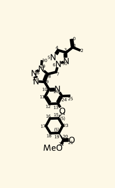 C=C(C)c1cnn(Cc2c(-c3ccc(O[C@H]4CCC[C@H](C(=O)OC)C4)c(C)n3)nnn2C)n1